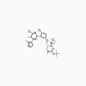 Cc1c(Cl)nc(-c2cc(OC[C@@H](CN(C)C(=O)OC(C)(C)C)O[Si](C)(C)C(C)(C)C)ccc2Cl)nc1-c1ccnn1C